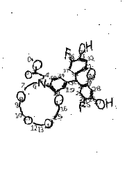 COC(=O)CN1CCOCCOCCOCCOc2cc(C3c4cc(F)c(O)cc4Oc4cc(O)c(F)cc43)ccc21